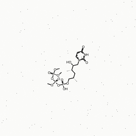 COP(=O)(OC)OP(=O)(OC)OP(=O)(O)OC[C@@H](C)C[C@H](C)[C@@H](O)Cn1ccc(=O)[nH]c1=O